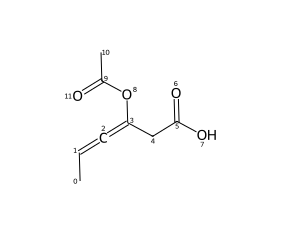 CC=C=C(CC(=O)O)OC(C)=O